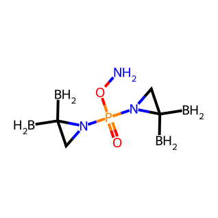 BC1(B)CN1P(=O)(ON)N1CC1(B)B